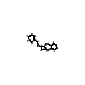 Brc1ccccc1OC1CC(OCc2ccccc2)C1